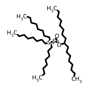 CCCCCCCCC(CCCCCCCC)[O][Sn](=[O])[Sn]([CH2]CCCCCCC)([CH2]CCCCCCC)[CH2]CCCCCCC